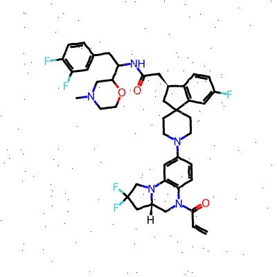 C=CC(=O)N1C[C@@H]2CC(F)(F)CN2c2cc(N3CCC4(CC3)C[C@@H](CC(=O)NC(Cc3ccc(F)c(F)c3)C3CN(C)CCO3)c3ccc(F)cc34)ccc21